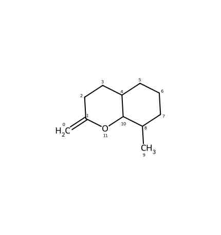 C=C1CCC2CCCC(C)C2O1